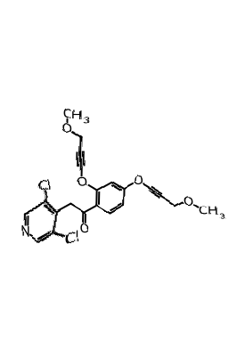 COCC#COc1ccc(C(=O)Cc2c(Cl)cncc2Cl)c(OC#CCOC)c1